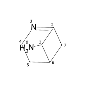 NC1C2=NCCC1C2